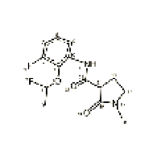 CC(F)Oc1c(F)cccc1NC(=O)C1CCN(C)C1=O